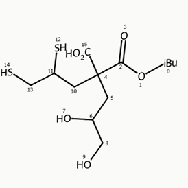 CCC(C)OC(=O)C(CC(O)CO)(CC(S)CS)C(=O)O